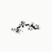 CC(C)(C)CC(C)(C(=O)OCCOP(=O)(O)OCC[N+](C)(C)C)C(C)(C)C